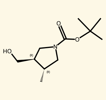 C[C@H]1CN(C(=O)OC(C)(C)C)C[C@@H]1CO